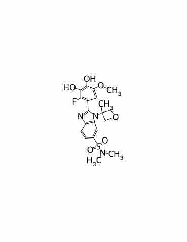 COc1cc(-c2nc3ccc(S(=O)(=O)N(C)C)cc3n2C2(C)COC2)c(F)c(O)c1O